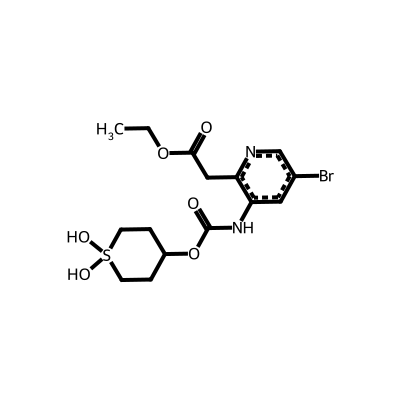 CCOC(=O)Cc1ncc(Br)cc1NC(=O)OC1CCS(O)(O)CC1